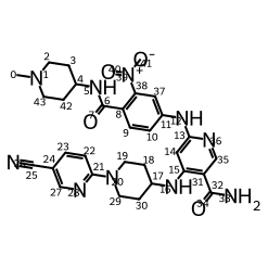 CN1CCC(NC(=O)c2ccc(Nc3cc(NC4CCN(c5ccc(C#N)cn5)CC4)c(C(N)=O)cn3)cc2[N+](=O)[O-])CC1